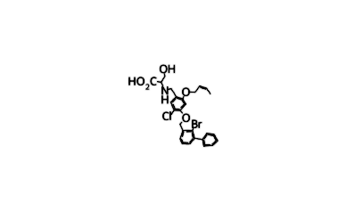 C/C=C\COc1cc(OCc2cccc(-c3ccccc3)c2Br)c(Cl)cc1CNC(CO)C(=O)O